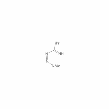 CN/N=N\C(=N)C(C)C